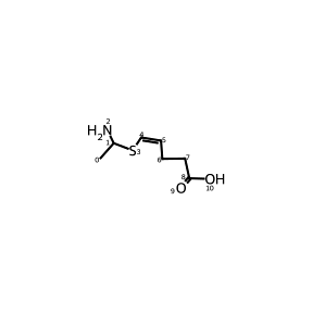 CC(N)S/C=C\CCC(=O)O